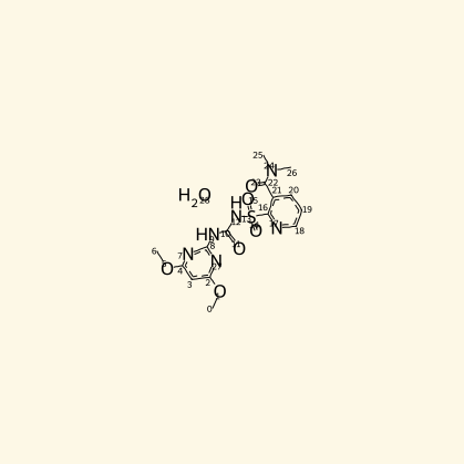 COc1cc(OC)nc(NC(=O)NS(=O)(=O)c2ncccc2C(=O)N(C)C)n1.O